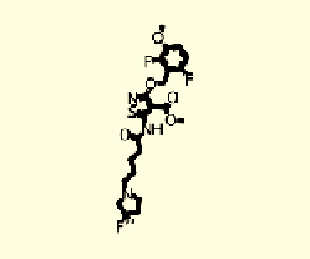 COC(=O)c1c(OCc2c(F)ccc(OC)c2F)nsc1NC(=O)CCCCN1CC[C@@H](F)C1